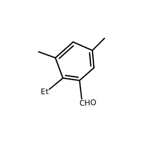 CCc1c(C)cc(C)cc1C=O